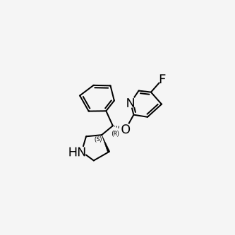 Fc1ccc(O[C@@H](c2ccccc2)[C@H]2CCNC2)nc1